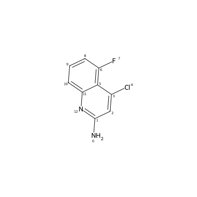 Nc1cc(Cl)c2c(F)cccc2n1